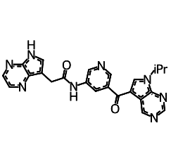 CC(C)n1cc(C(=O)c2cncc(NC(=O)Cc3c[nH]c4nccnc34)c2)c2cncnc21